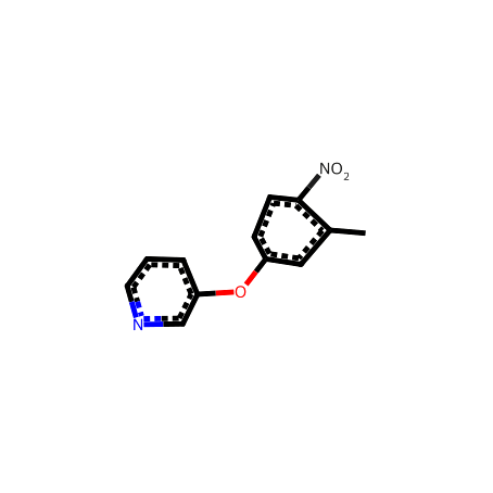 Cc1cc(Oc2cccnc2)ccc1[N+](=O)[O-]